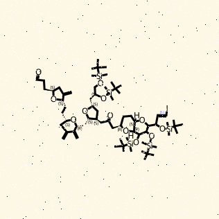 C=C1C[C@H](CC[C@@H]2O[C@@H](CCC=O)CC2=C)O[C@H](C[C@@H]2O[C@H](C[C@@H](CO[Si](C)(C)C(C)(C)C)O[Si](C)(C)C(C)(C)C)C[C@H]2CC(=O)C[C@H]2CC[C@@H]3OC(C(/C=C/I)O[Si](C)(C)C(C)(C)C)C(O[Si](C)(C)C(C)(C)C)C(O[Si](C)(C)C(C)(C)C)[C@@H]3O2)C1=C